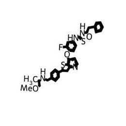 COCC(C)NCc1ccc(C2Cc3nccc(Oc4ccc(NC(=S)NC(=O)Cc5ccccc5)cc4F)c3S2)cc1